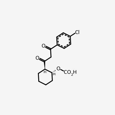 O=C(O)O[C@@H]1CCCC[C@H]1C(=O)CC(=O)c1ccc(Cl)cc1